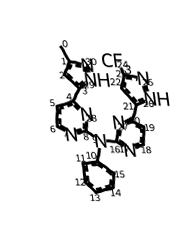 Cc1cc(-c2ccnc(N(c3ccccc3)c3nccc(-c4cc(C(F)(F)F)n[nH]4)n3)n2)[nH]n1